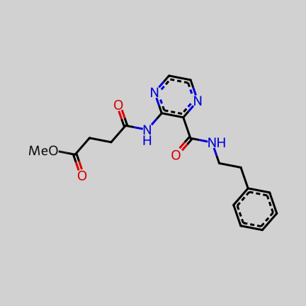 COC(=O)CCC(=O)Nc1nccnc1C(=O)NCCc1ccccc1